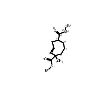 CCSC(=O)C1(C)/C=C/CC(C(=O)NC(C)(C)C)CCC1